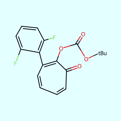 CC(C)(C)OC(=O)Oc1c(-c2c(F)cccc2F)ccccc1=O